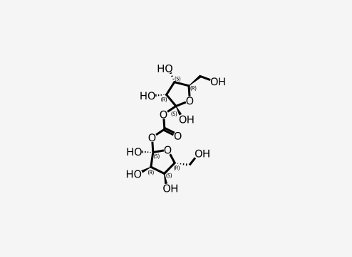 O=C(O[C@@]1(O)O[C@H](CO)[C@@H](O)[C@H]1O)O[C@@]1(O)O[C@H](CO)[C@@H](O)[C@H]1O